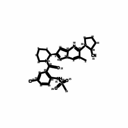 Cc1cn2nc([C@@H]3CCCCN3C(=O)c3cc(Cl)ccc3NS(C)(=O)=O)cc2nc1N1CCCC1C#N